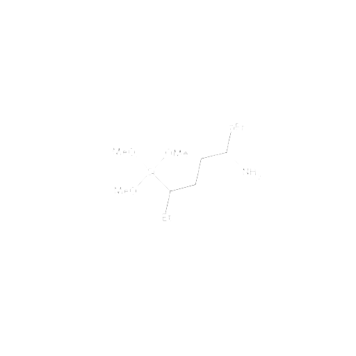 CCCC(N)CCC(CC)[Si](OC)(OC)OC